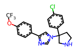 FC(F)(F)Oc1ccc(-c2cn(C3(c4ccc(Cl)cc4)CCNC3)cn2)cc1